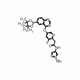 CC(C)(C)n1cc(NC(=O)Cc2ncc(Oc3ncnc4ccc(B5OC(C)(C)C(C)(C)O5)cc34)cc2F)cn1